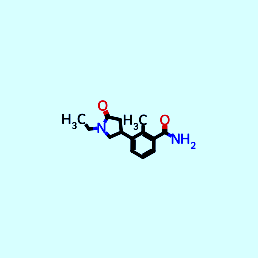 CCN1CC(c2cccc(C(N)=O)c2C)CC1=O